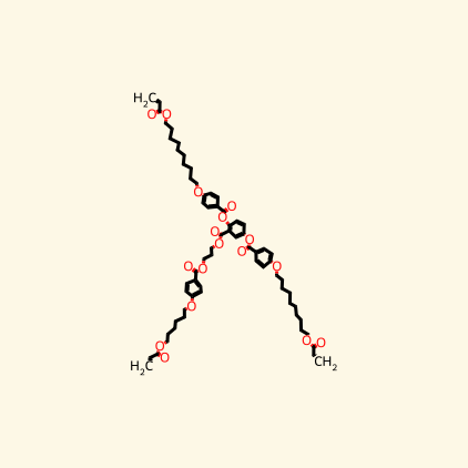 C=CC(=O)OCCCCCCCCCCOc1ccc(C(=O)Oc2ccc(OC(=O)c3ccc(OCCCCCCCCCCOC(=O)C=C)cc3)c(C(=O)OCCCOC(=O)c3ccc(OCCCCCCOC(=O)C=C)cc3)c2)cc1